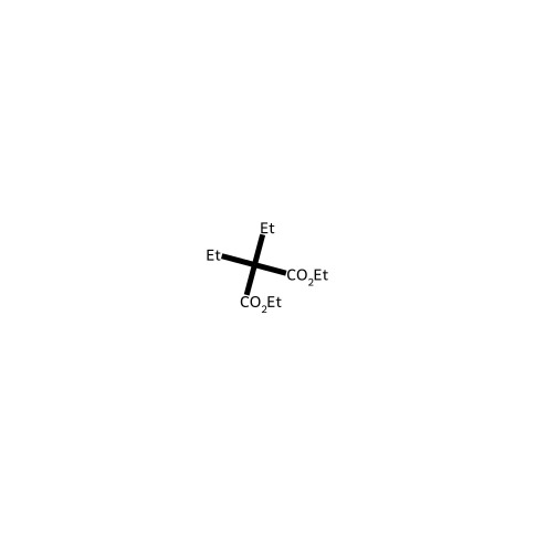 CCOC(=O)C(CC)(CC)C(=O)OCC